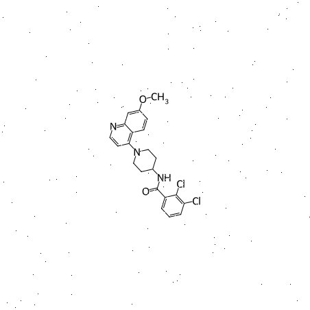 COc1ccc2c(N3CCC(NC(=O)c4cccc(Cl)c4Cl)CC3)ccnc2c1